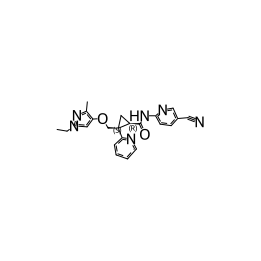 CCn1cc(OC[C@@]2(c3ccccn3)C[C@H]2C(=O)Nc2ccc(C#N)cn2)c(C)n1